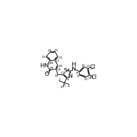 CC(C)(C)c1nc(Nc2ccc(Cl)c(Cl)c2)sc1Cc1cc2ccccc2[nH]c1=O